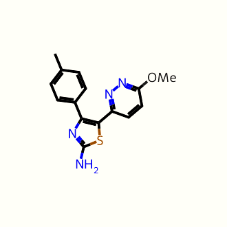 COc1ccc(-c2sc(N)nc2-c2ccc(C)cc2)nn1